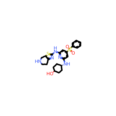 O=S(=O)(c1ccccc1)c1cc(Nc2nc3c(s2)CNCC3)nc(N[C@H]2CC[C@H](O)CC2)c1